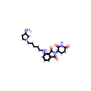 NC1CCN(CCCCCNc2cccc3c2C(=O)N(C2CCC(=O)NC2=O)C3=O)C1